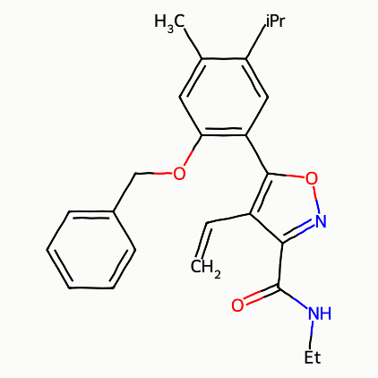 C=Cc1c(C(=O)NCC)noc1-c1cc(C(C)C)c(C)cc1OCc1ccccc1